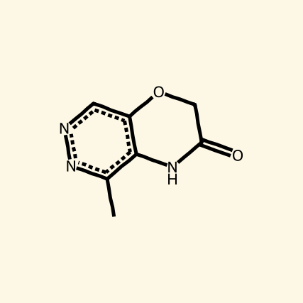 Cc1nncc2c1NC(=O)CO2